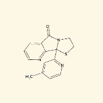 Cc1ccnc(C23SCCN2C(=O)c2cccnc23)c1